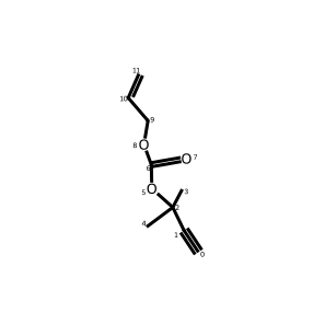 C#CC(C)(C)OC(=O)OCC=C